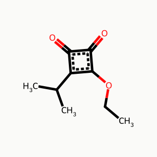 CCOc1c(C(C)C)c(=O)c1=O